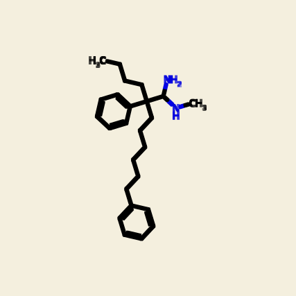 CCCCC(CCCCCCc1ccccc1)(c1ccccc1)C(N)NC